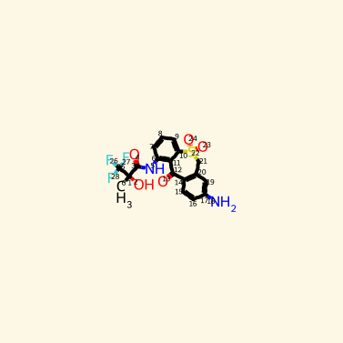 CC(O)(C(=O)Nc1cccc2c1C(=O)c1ccc(N)cc1CS2(=O)=O)C(F)(F)F